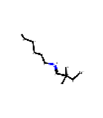 [Li][CH2]C(C)(C)C=NCCCCCC